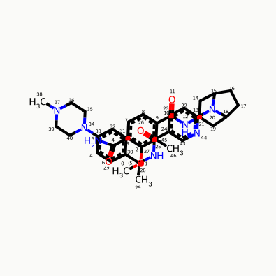 COc1c(C(N)=O)ccc(C(=O)NC2CC3CCC(C2)N3c2ccc(C(=O)N[C@@H](C)c3ccc(N4CCN(C)CC4)cc3)cn2)c1C